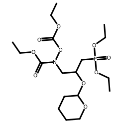 CCOC(=O)ON(CC(CP(=O)(OCC)OCC)OC1CCCCO1)C(=O)OCC